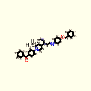 C\C=C/C(=C\C=N\c1ccc(OCc2ccccc2)cc1)C1=CC(C)N(c2ccc(C(=O)c3ccccc3)cc2)C=C1